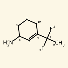 CC(F)(F)C1=CC(N)CCC1